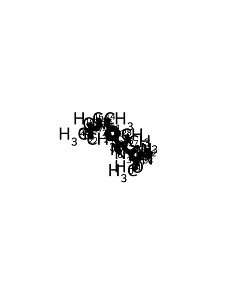 COc1cc(-c2[nH]nc(-c3ccc(C(C)N(C)CC(=O)N(C)C)cc3)c2C(C)C)cn2ncnc12